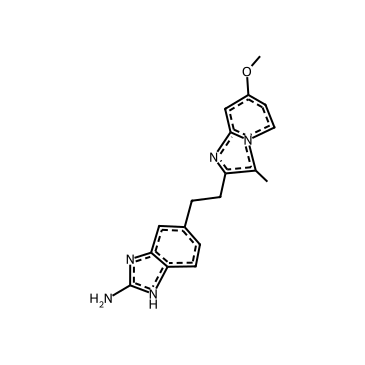 COc1ccn2c(C)c(CCc3ccc4[nH]c(N)nc4c3)nc2c1